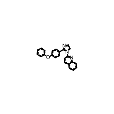 c1ccc(Oc2ccc(-c3nccn3-c3ccc4ccccc4n3)cc2)cc1